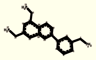 PCc1cccc(-c2ccc3c(CP)cc(CP)cc3c2)c1